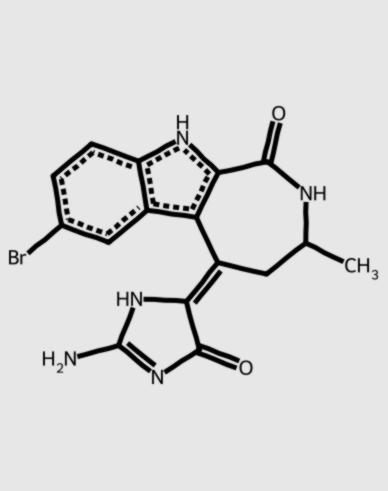 CC1CC(=C2NC(N)=NC2=O)c2c([nH]c3ccc(Br)cc23)C(=O)N1